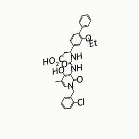 CCOc1cc([C@H](CC(=O)O)NC(=O)Nc2c(O)c(C)cn(Cc3ccccc3Cl)c2=O)ccc1-c1ccccc1